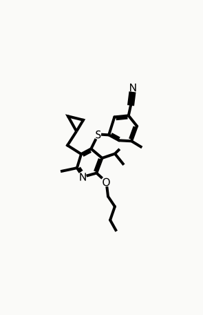 CCCCOc1nc(C)c(CC2CC2)c(Sc2cc(C)cc(C#N)c2)c1C(C)C